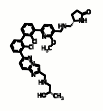 COc1nc(-c2cccc(-c3cccc(-c4ccc5nc(CNC[C@H](C)O)cn5n4)c3Cl)c2Cl)ccc1CNC[C@@H]1CCC(=O)N1